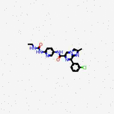 CCNC(=O)Nc1ccc(NC(=O)c2cn3cc(C)nc3c(-c3cccc(Cl)c3)n2)cn1